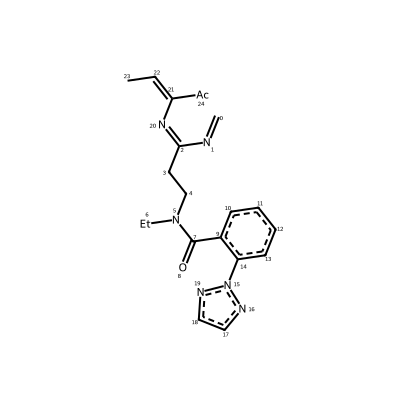 C=N/C(CCN(CC)C(=O)c1ccccc1-n1nccn1)=N\C(=C/C)C(C)=O